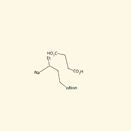 CCCCCCCCCCC[CH]([Na])CC.O=C(O)CCC(=O)O